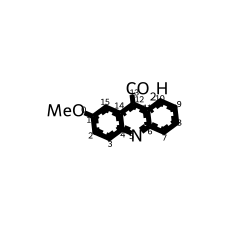 COc1ccc2nc3ccccc3c(C(=O)O)c2c1